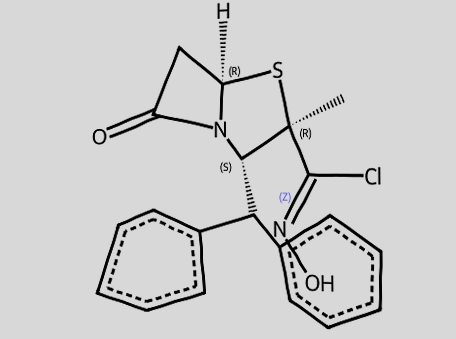 C[C@@]1(/C(Cl)=N/O)S[C@@H]2CC(=O)N2[C@H]1C(c1ccccc1)c1ccccc1